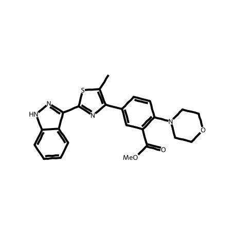 COC(=O)c1cc(-c2nc(-c3n[nH]c4ccccc34)sc2C)ccc1N1CCOCC1